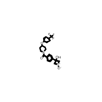 O=C(c1ccc(C2(O)C[S+]([O-])C2)cc1)N1CCC(Oc2ccc(C(F)(F)F)cc2)CC1